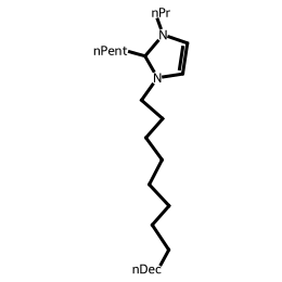 CCCCCCCCCCCCCCCCCCN1C=CN(CCC)C1CCCCC